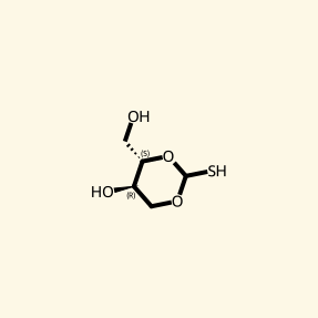 OC[C@@H]1OC(S)OC[C@H]1O